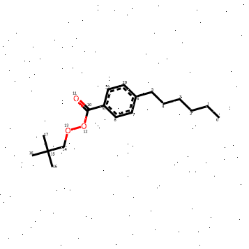 CCCCCCc1ccc(C(=O)OO[CH]C(C)(C)C)cc1